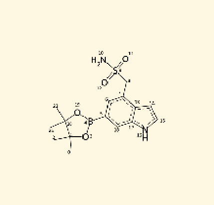 CC1(C)OB(c2cc(CS(N)(=O)=O)c3cc[nH]c3c2)OC1(C)C